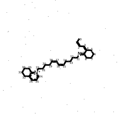 C\C=C/C=C1/CCCC/C1=N\CCCC/C=C\C=C/CCCC[n+]1cccc2c1CCCC2